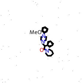 COc1ccccc1N1CCN(CC(C(=O)N2CCCCCC2)c2ccccc2)CC1